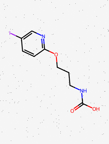 O=C(O)NCCCOc1ccc(I)cn1